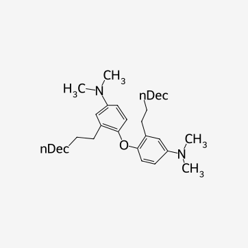 CCCCCCCCCCCCc1cc(N(C)C)ccc1Oc1ccc(N(C)C)cc1CCCCCCCCCCCC